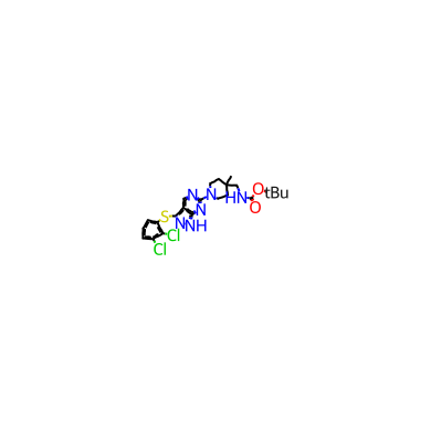 CC1(CNC(=O)OC(C)(C)C)CCN(c2ncc3c(Sc4cccc(Cl)c4Cl)n[nH]c3n2)CC1